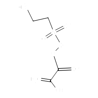 C=C(C)C(=O)OOS(=O)(=O)CCC